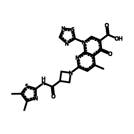 Cc1nc(NC(=O)C2CN(c3cc(C)c4c(=O)c(C(=O)O)cn(-c5ncns5)c4n3)C2)sc1C